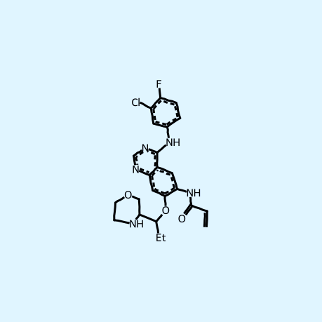 C=CC(=O)Nc1cc2c(Nc3ccc(F)c(Cl)c3)ncnc2cc1OC(CC)C1COCCN1